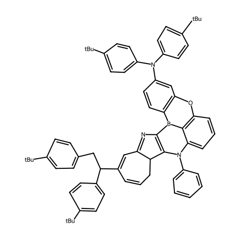 CC(C)(C)c1ccc(CC(C2=CC3=NC4=C(C3CC=C2)N(c2ccccc2)c2cccc3c2B4c2ccc(N(c4ccc(C(C)(C)C)cc4)c4ccc(C(C)(C)C)cc4)cc2O3)c2ccc(C(C)(C)C)cc2)cc1